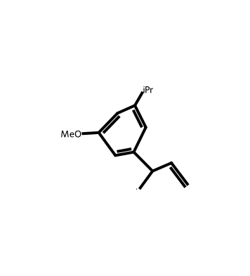 [CH2]C(C=C)c1cc(OC)cc(C(C)C)c1